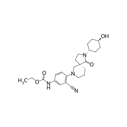 CCOC(=O)Nc1ccc(N2CCC[C@@]3(CCN([C@H]4CC[C@H](O)CC4)C3=O)C2)c(C#N)c1